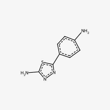 Nc1ccc(-c2nnc(N)s2)cc1